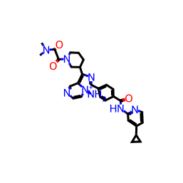 CN(C)C(=O)C(=O)N1CCCC(C2=C3C=NC=C[N+]3(N)C(c3ccc(C(=O)Nc4cc(C5CC5)ccn4)cc3)=N2)C1